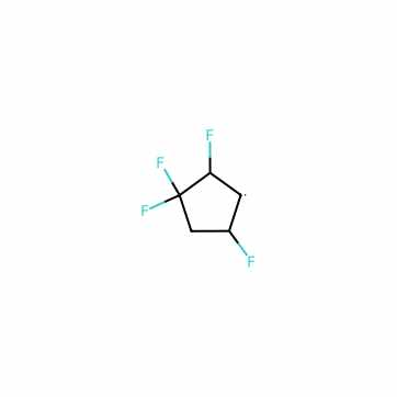 FC1[CH]C(F)C(F)(F)C1